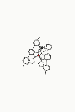 Cc1ccc(-c2ccc(-c3ccc(C)cc3)c3c2C=C(CC2CCCC2)[CH]3[Zr]([CH3])([CH3])(=[SiH2])[CH]2C(CC3CCCC3)=Cc3c(-c4ccc(C)cc4)ccc(-c4ccc(C)cc4)c32)cc1